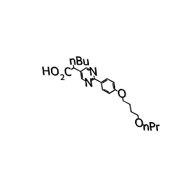 CCCCC(C(=O)O)c1cnc(-c2ccc(OCCCCOCCC)cc2)nc1